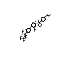 C/C=C/c1ccc(C(=O)Oc2ccc(-c3ccc(C(F)(F)OC(F)(F)F)cc3)c(F)c2)cc1